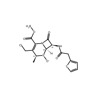 BOC(=O)C1=C(CCl)[C@H](C)[S+]([O-])[C@@H]2[C@H](NC(=O)Cc3cccs3)C(=O)N12